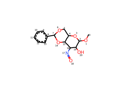 COC1OC2COC(c3ccccc3)OC2C(N=O)C1O